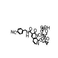 Cn1c(=O)c(C(=O)NCc2ccc(C#N)cc2)cc2ccnc(OCC3(S(=O)(=O)N4COP(=O)(O)OC4)CC3)c21